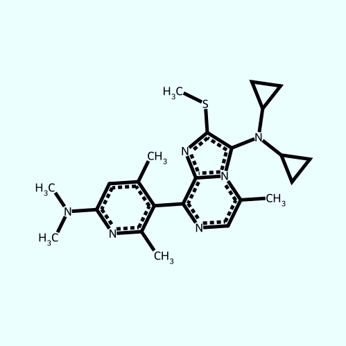 CSc1nc2c(-c3c(C)cc(N(C)C)nc3C)ncc(C)n2c1N(C1CC1)C1CC1